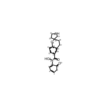 O=C1CC=CC=C1N(O)C(=O)c1ccc2c(c1)CCC1(CCNC1)O2